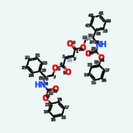 O=C(/C=C/C(=O)OC[C@@H](NC(=O)Oc1ccccc1)c1ccccc1)OC[C@@H](NC(=O)Oc1ccccc1)c1ccccc1